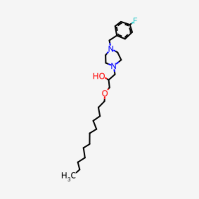 CCCCCCCCCCCCOCC(O)CN1CCN(Cc2ccc(F)cc2)CC1